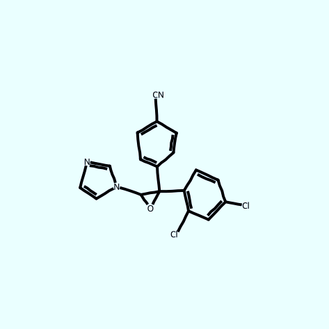 N#Cc1ccc(C2(c3ccc(Cl)cc3Cl)OC2n2ccnc2)cc1